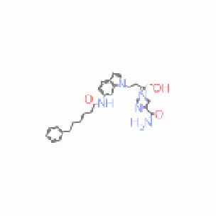 NC(=O)c1cn([C@@H](CO)CCn2ccc3ccc(NC(=O)CCCCCc4ccccc4)cc32)cn1